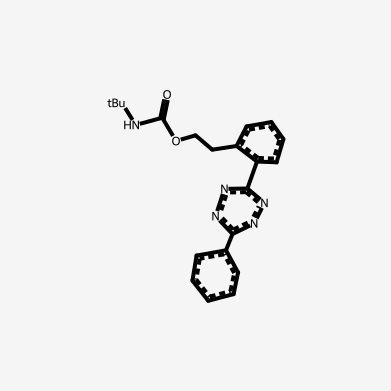 CC(C)(C)NC(=O)OCCc1ccccc1-c1nnc(-c2ccccc2)nn1